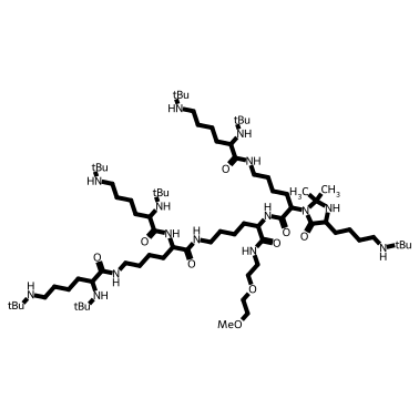 COCCOCCNC(=O)C(CCCCNC(=O)C(CCCCNC(=O)C(CCCCNC(C)(C)C)NC(C)(C)C)NC(=O)C(CCCCNC(C)(C)C)NC(C)(C)C)NC(=O)C(CCCCNC(=O)C(CCCCNC(C)(C)C)NC(C)(C)C)N1C(=O)C(CCCCNC(C)(C)C)NC1(C)C